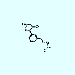 CC(=O)NCCc1cccc(N2SNCC2=O)c1